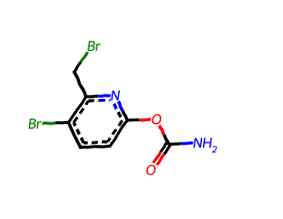 NC(=O)Oc1ccc(Br)c(CBr)n1